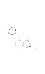 Oc1ccc(C2COc3cc(O)cc4c3N2CCO4)cc1